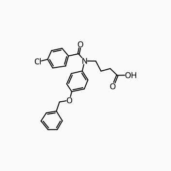 O=C(O)CCCN(C(=O)c1ccc(Cl)cc1)c1ccc(OCc2ccccc2)cc1